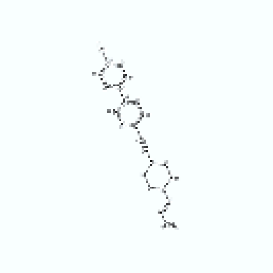 C/C=C/C1CCC(C#Cc2ccc(-c3ccc(Cl)cc3)nc2)CC1